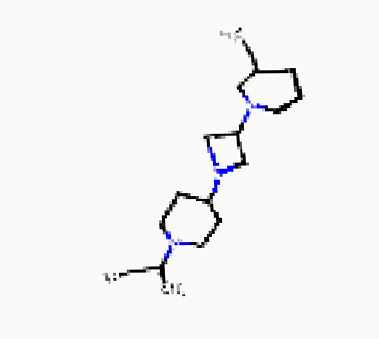 CC1CCCN(C2CN(C3CCN(C(C)C)CC3)C2)C1